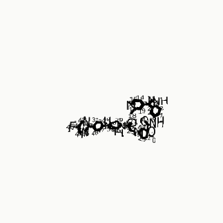 COC1(C(=O)Nc2ccc3[nH]nc(-c4ccnc(C)c4)c3c2)CCN(CC(=O)N2C[C@@H]3C[C@H]2CN3c2ccc(-c3ncc(F)cn3)cc2)C1